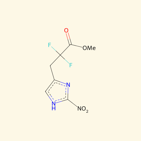 COC(=O)C(F)(F)Cc1c[nH]c([N+](=O)[O-])n1